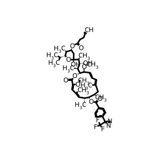 C#CCCC(=O)O[C@@H]1C[C@](O)([C@@H](C)[C@H](O)[C@H](C)[C@H]2OC(=O)/C(OC)=C/C(C)=C/[C@@H](C)[C@@H](OC(=O)c3ccc(C4(C(F)(F)F)N=N4)cc3)[C@@H](C)C/C(C)=C/C=C/[C@@H]2OC)O[C@H](C(C)C)[C@H]1C